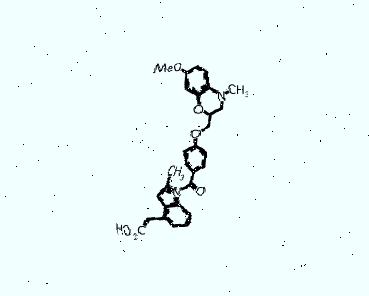 COc1ccc2c(c1)OC(COc1ccc(C(=O)n3c(C)cc4c(CC(=O)O)cccc43)cc1)CN2C